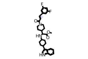 COC(=O)C(NC1CCC(c2c[nH]c3ccccc23)CC1)C1CCN(C(=O)/C=C/c2cc(F)cc(F)c2)CC1